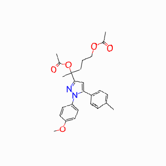 COc1ccc(-n2nc(C(C)(CCCOC(C)=O)OC(C)=O)cc2-c2ccc(C)cc2)cc1